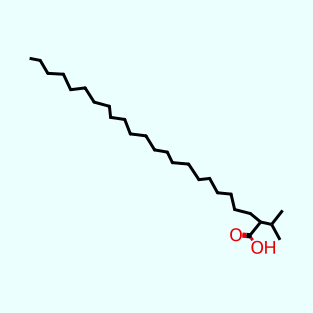 CCCCCCCCCCCCCCCCCCCCCCC(C(=O)O)C(C)C